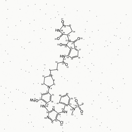 COc1cc(N2CCN(CCCC(=O)Nc3cccc4c3C(=O)N(C3CCC(=O)NC3=O)C4=O)CC2)ccc1Nc1ncc(Cl)c(Nc2ccccc2N(C)S(C)(=O)=O)n1